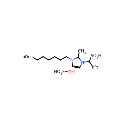 CCCCCCCCCCCCCCCCN1C=CN(C(CCC)S(=O)(=O)O)C1C.O=S(=O)(O)O